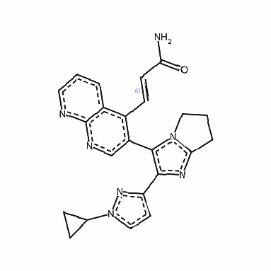 NC(=O)/C=C/c1c(-c2c(-c3ccn(C4CC4)n3)nc3n2CCC3)cnc2ncccc12